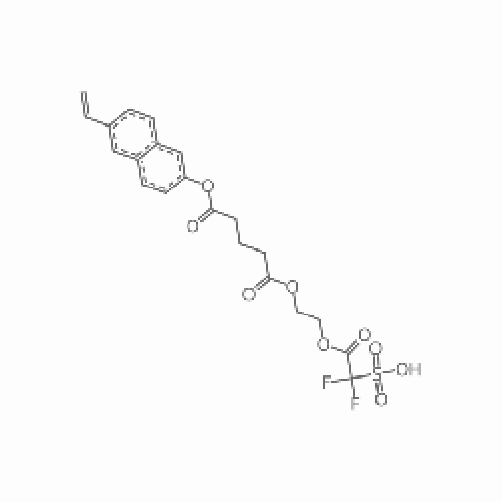 C=Cc1ccc2cc(OC(=O)CCCC(=O)OCCOC(=O)C(F)(F)S(=O)(=O)O)ccc2c1